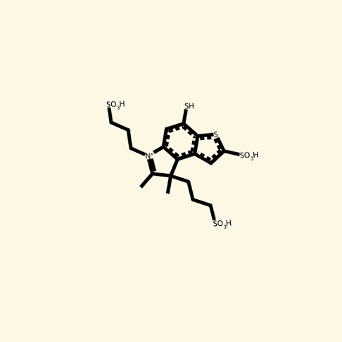 CC1=[N+](CCCS(=O)(=O)O)c2cc(S)c3sc(S(=O)(=O)O)cc3c2C1(C)CCCS(=O)(=O)O